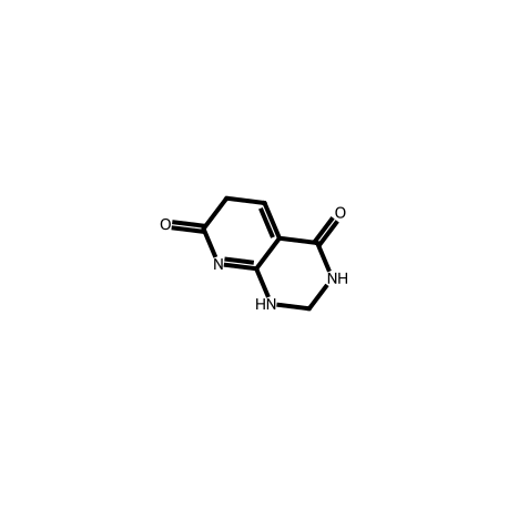 O=C1CC=C2C(=O)NCNC2=N1